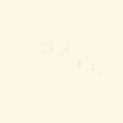 O=C(O)N1CC(CNS(=O)(=O)c2ccc(Cl)cc2)C1